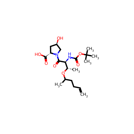 C=CCCC(C)O[C@@H](C)[C@H](NC(=O)OC(C)(C)C)C(=O)N1C[C@H](O)C[C@H]1C(=O)O